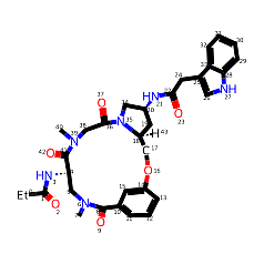 CCC(=O)N[C@H]1CN(C)C(=O)c2cccc(c2)OC[C@@H]2C[C@H](NC(=O)Cc3c[nH]c4ccccc34)CN2C(=O)CN(C)C1=O